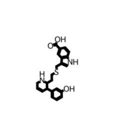 O=C(O)c1ccc2[nH]cc(CSCCC3NCC=CC3c3cccc(O)c3)c2c1